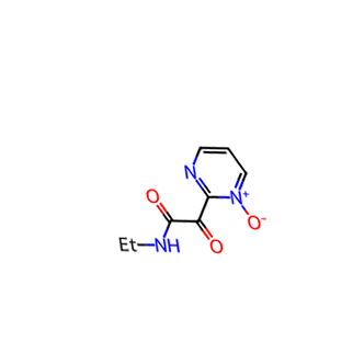 CCNC(=O)C(=O)c1nccc[n+]1[O-]